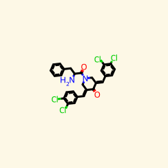 NC(Cc1ccccc1)C(=O)N1C/C(=C\c2ccc(Cl)c(Cl)c2)C(=O)/C(=C/c2ccc(Cl)c(Cl)c2)C1